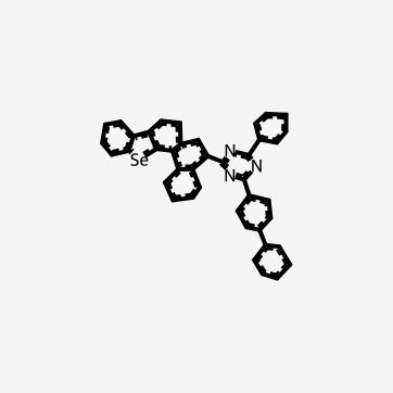 c1ccc(-c2ccc(-c3nc(-c4ccccc4)nc(-c4cc5ccc6c7ccccc7[se]c6c5c5ccccc45)n3)cc2)cc1